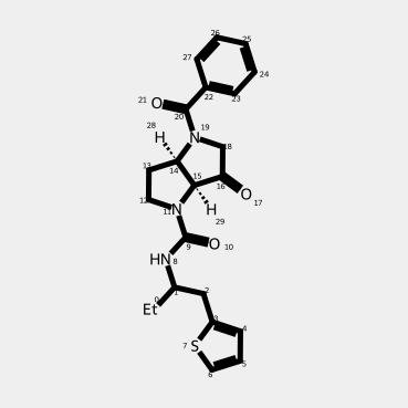 CCC(Cc1cccs1)NC(=O)N1CC[C@@H]2[C@H]1C(=O)CN2C(=O)c1ccccc1